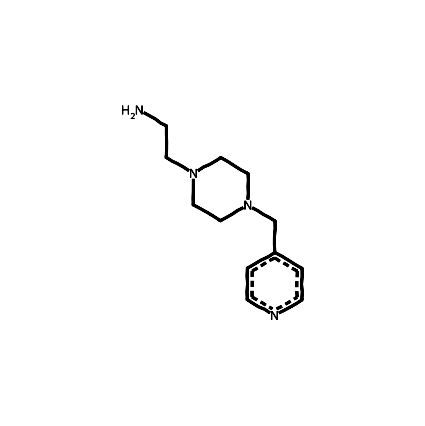 NCCN1CCN(Cc2ccncc2)CC1